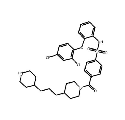 O=C(c1ccc(S(=O)(=O)Nc2ccccc2Oc2ccc(Cl)cc2Cl)cc1)N1CCC(CCCC2CCNCC2)CC1